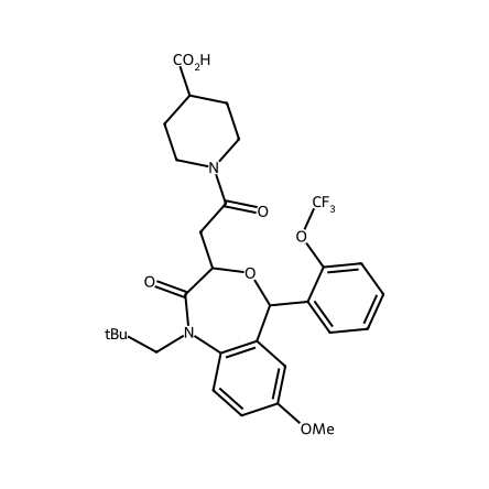 COc1ccc2c(c1)C(c1ccccc1OC(F)(F)F)OC(CC(=O)N1CCC(C(=O)O)CC1)C(=O)N2CC(C)(C)C